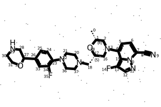 C[C@@H]1CN(c2ccc(C#N)n3ncc(F)c23)C[C@H](CN2CCN(c3ccc(C4CNCCO4)cc3F)CC2)O1